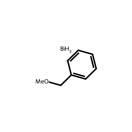 COCc1[c]cccc1.[BiH3]